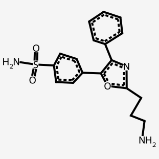 NCCCc1nc(-c2ccccc2)c(-c2ccc(S(N)(=O)=O)cc2)o1